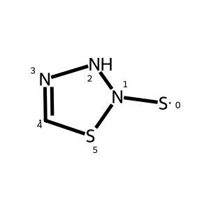 [S]N1NN=[C]S1